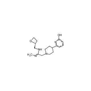 C/N=C(/CN1CCC(c2cccc(O)n2)CC1)NC[C@@H]1CCO1